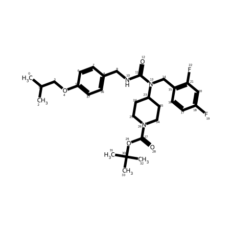 CC(C)COc1ccc(CNC(=O)N(Cc2ccc(F)cc2F)C2CCN(C(=O)OC(C)(C)C)CC2)cc1